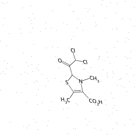 CC1=C(C(=O)O)N(C)C(C(=O)C(Cl)Cl)S1